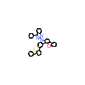 C1=CC2C(c3cc(C4=CCCc5c4sc4ccccc54)ccc3N2c2nc(-c3ccccc3)c3ccccc3n2)c2oc3ccccc3c21